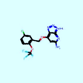 Nc1cc(OCc2cc(Cl)ccc2OC(F)(F)F)c2nn[nH]c2n1